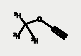 [2H]C([2H])([2H])OC#C